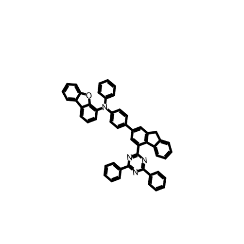 c1ccc(-c2nc(-c3ccccc3)nc(-c3cc(-c4ccc(N(c5ccccc5)c5cccc6c5oc5ccccc56)cc4)cc4c3-c3ccccc3C4)n2)cc1